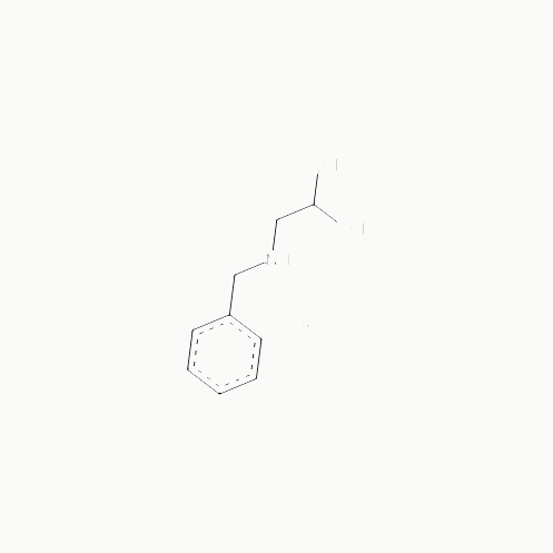 Cl.OC(O)CNCc1ccccc1